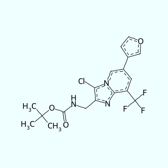 CC(C)(C)OC(=O)NCc1nc2c(C(F)(F)F)cc(-c3ccoc3)cn2c1Cl